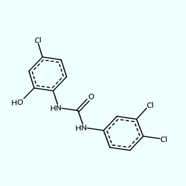 O=C(Nc1ccc(Cl)c(Cl)c1)Nc1ccc(Cl)cc1O